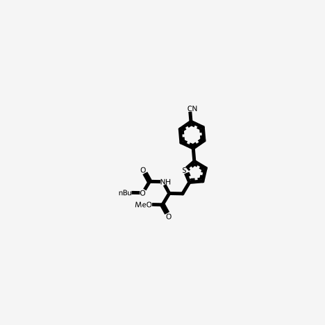 CCCCOC(=O)NC(Cc1ccc(-c2ccc(C#N)cc2)s1)C(=O)OC